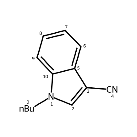 CCCCn1cc(C#N)c2ccccc21